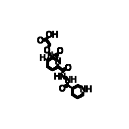 O=C(O)CON1C(=O)N2C[C@H]1CCC2C(=O)NNC(=O)[C@@H]1CCCNC1